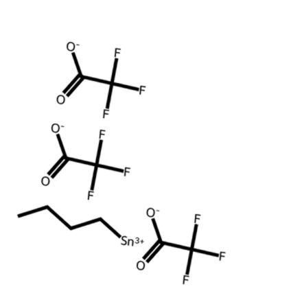 CCC[CH2][Sn+3].O=C([O-])C(F)(F)F.O=C([O-])C(F)(F)F.O=C([O-])C(F)(F)F